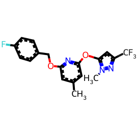 Cc1cc(OCc2ccc(F)cc2)nc(Oc2cc(C(F)(F)F)nn2C)c1